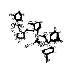 COC(=O)N[C@H](C(=O)Nc1cccc(F)c1CC[C@H]1CNC[C@H](C)N1S(=O)(=O)c1cccc(F)c1)[C@@H](c1ccc(F)cc1)c1cc(F)cc(F)c1